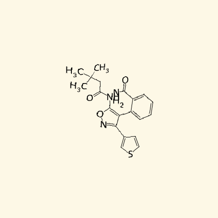 CC(C)(C)CC(=O)Nc1onc(-c2ccsc2)c1-c1ccccc1C(N)=O